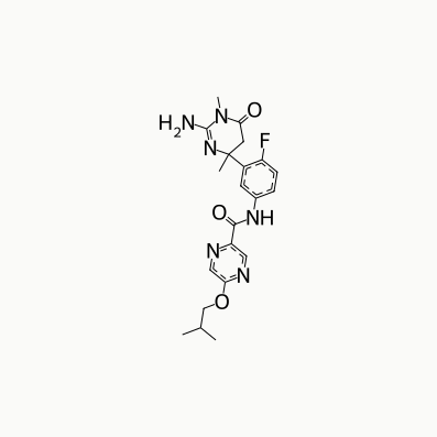 CC(C)COc1cnc(C(=O)Nc2ccc(F)c(C3(C)CC(=O)N(C)C(N)=N3)c2)cn1